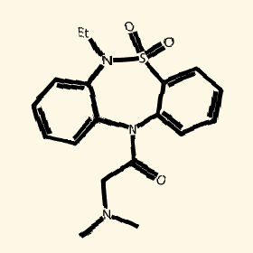 CCN1c2ccccc2N(C(=O)CN(C)C)c2ccccc2S1(=O)=O